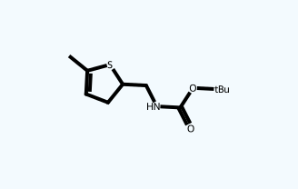 CC1=CCC(CNC(=O)OC(C)(C)C)S1